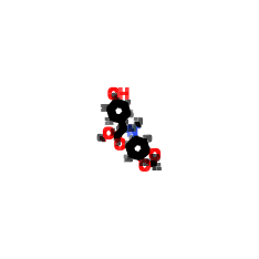 COC(=O)C(c1ccc(O)cc1)N(C)c1ccc2c(c1)OCO2